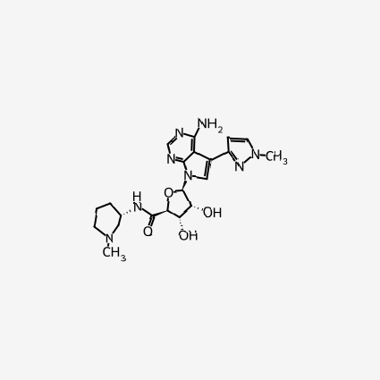 CN1CCC[C@H](NC(=O)[C@H]2O[C@@H](n3cc(-c4ccn(C)n4)c4c(N)ncnc43)[C@H](O)[C@@H]2O)C1